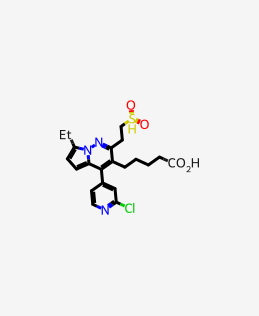 CCc1ccc2c(-c3ccnc(Cl)c3)c(CCCCC(=O)O)c(CC[SH](=O)=O)nn12